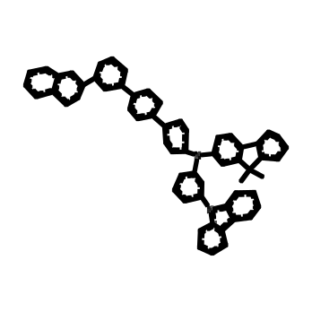 CC1(C)c2ccccc2-c2ccc(N(c3ccc(-c4ccc(-c5cccc(-c6ccc7ccccc7c6)c5)cc4)cc3)c3cccc(-n4c5ccccc5c5ccccc54)c3)cc21